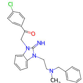 CN(CCn1c(=N)n(CC(=O)c2ccc(Cl)cc2)c2ccccc21)Cc1ccccc1